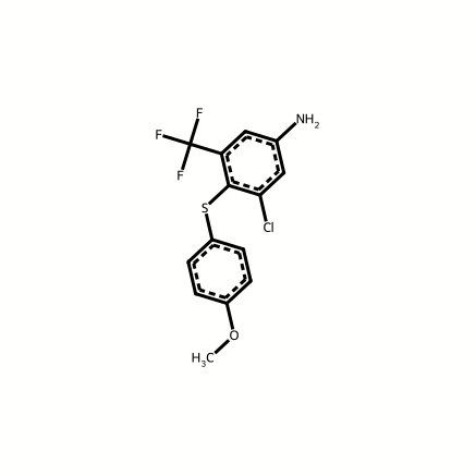 COc1ccc(Sc2c(Cl)cc(N)cc2C(F)(F)F)cc1